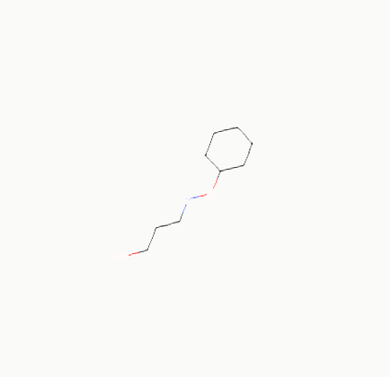 OCCCNOC1CCCCC1